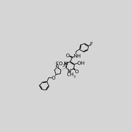 Cn1c([C@@H]2C[C@@H](OCc3ccccc3)CN2C(=O)O)nc(C(=O)NCc2ccc(F)cc2)c(O)c1=O